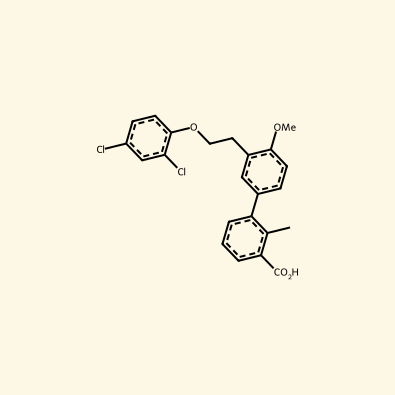 COc1ccc(-c2cccc(C(=O)O)c2C)cc1CCOc1ccc(Cl)cc1Cl